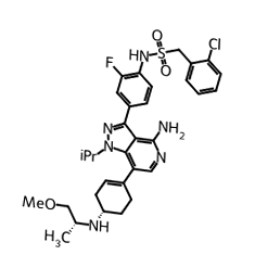 COC[C@@H](C)N[C@@H]1CC=C(c2cnc(N)c3c(-c4ccc(NS(=O)(=O)Cc5ccccc5Cl)c(F)c4)nn(C(C)C)c23)CC1